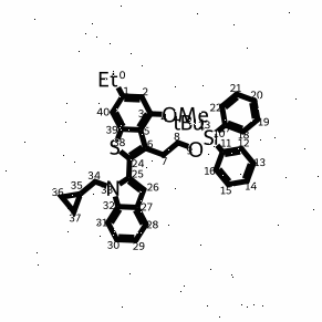 CCc1cc(OC)c2c(CCO[Si](c3ccccc3)(c3ccccc3)C(C)(C)C)c(-c3cc4ccccc4n3CC3CC3)sc2c1